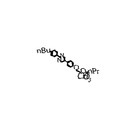 CCCCc1ccc(-c2ncc(-c3ccc(OCC(C)OC(=O)CCC)cc3)cn2)cc1